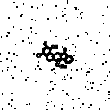 CC(C)(C)OC(=O)N1CCc2c(Cl)cc(F)c(O)c2[C@H]1CN1C(=O)c2ccccc2C1=O